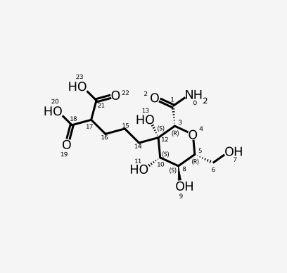 NC(=O)[C@@H]1O[C@H](CO)[C@@H](O)[C@H](O)[C@@]1(O)CCCC(C(=O)O)C(=O)O